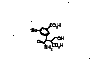 CC(C)(C)c1cc(C(=O)O)cc(C(C(N)=O)C(CO)C(=O)O)c1